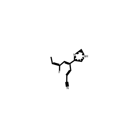 C\C=C(F)/C=C(\C=C\C#N)c1c[nH]cn1